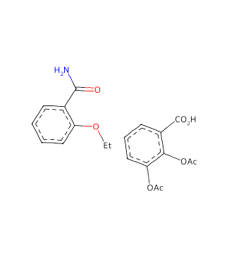 CC(=O)Oc1cccc(C(=O)O)c1OC(C)=O.CCOc1ccccc1C(N)=O